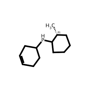 C[C@@H]1CCCCC1PC1CC=CCC1